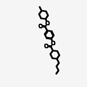 CCCCC1CCC(C(=O)Oc2ccc(C(=O)OC3CCC(C)CC3)cc2)CC1